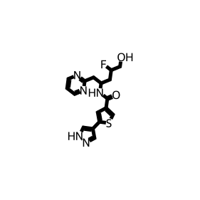 O=C(NC(Cc1ncccn1)CC(F)CO)c1csc(-c2cn[nH]c2)c1